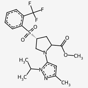 COC(=O)C1C[C@@H](S(=O)(=O)c2ccccc2C(F)(F)F)CN1c1cc(C)nn1C(C)C